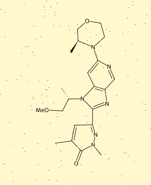 COC[C@H](C)n1c(-c2cc(C)c(=O)n(C)n2)nc2cnc(N3CCOC[C@@H]3C)cc21